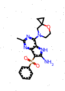 Cc1nc(N2CCOC3(CC3)C2)c2[nH]c(N)c(S(=O)(=O)c3ccccc3)c2n1